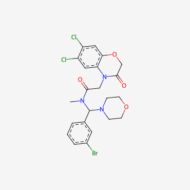 CN(C(=O)CN1C(=O)COc2cc(Cl)c(Cl)cc21)C(c1cccc(Br)c1)N1CCOCC1